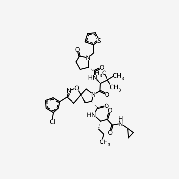 CCC[C@H](NC(=O)[C@@H]1C[C@]2(CC(c3cccc(Cl)c3)=NO2)CN1C(=O)[C@@H](NC(=O)[C@@H]1CCC(=O)N1Cc1cccs1)C(C)(C)C)C(=O)C(=O)NC1CC1